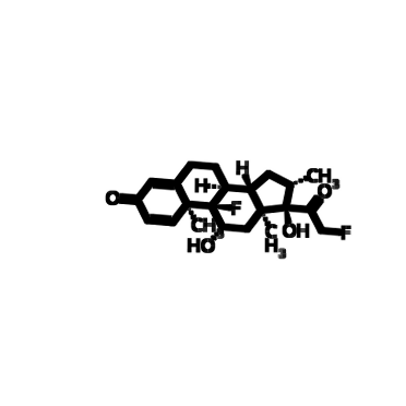 C[C@H]1C[C@H]2[C@@H]3CCC4=CC(=O)C=C[C@]4(C)[C@@]3(F)[C@@H](O)C[C@]2(C)[C@@]1(O)C(=O)CF